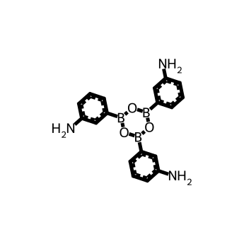 Nc1cccc(B2OB(c3cccc(N)c3)OB(c3cccc(N)c3)O2)c1